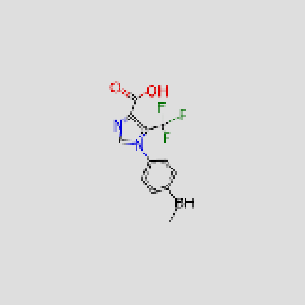 CBc1ccc(-n2cnc(C(=O)O)c2C(F)(F)F)cc1